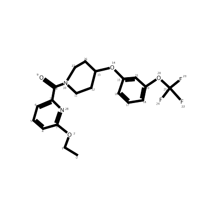 CCOc1cccc(C(=O)N2CCC(Oc3cccc(OC(F)(F)F)c3)CC2)n1